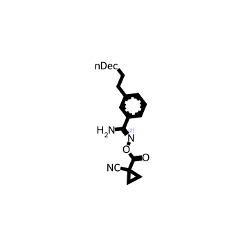 CCCCCCCCCCCCc1cccc(/C(N)=N/OC(=O)C2(C#N)CC2)c1